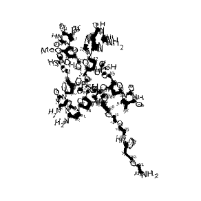 COC1[C@@H](OP(=O)(S)OC[C@H]2O[C@@H](n3ccc(N)nc3=O)C[C@H]2OP(=O)(S)OC[C@H]2O[C@@H](n3cnc4c(=O)[nH]c(N)nc43)C[C@H]2OP(=O)(S)OC[C@H]2O[C@@H](n3cc(C)c(=O)[nH]c3=O)C[C@H]2OP(=S)(OCCOCCOCCNC(=O)CCOCCN)OC[C@H]2O[C@@H](n3ccc(N)nc3=O)C[C@H]2C(C)C)[C@@H](CO)O[C@H]1n1cc(Br)c(=O)[nH]c1=O